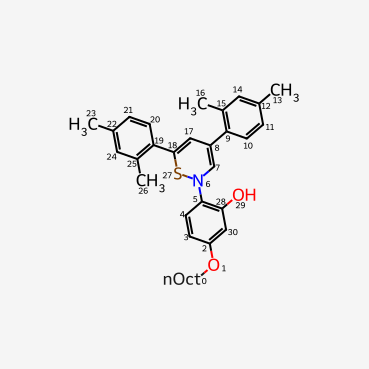 CCCCCCCCOc1ccc(N2C=C(c3ccc(C)cc3C)C=C(c3ccc(C)cc3C)S2)c(O)c1